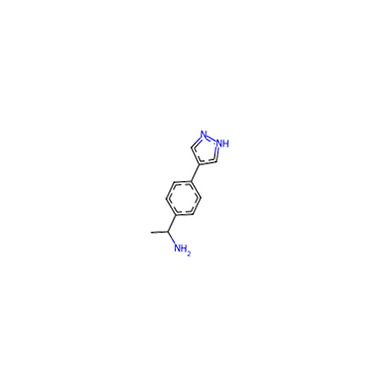 CC(N)c1ccc(-c2cn[nH]c2)cc1